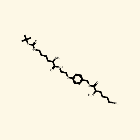 CC(C)(C)OC(=O)NCCCCC(N)C(=O)NCCOc1ccc(CSC(=O)C(N)CCCCN)cc1